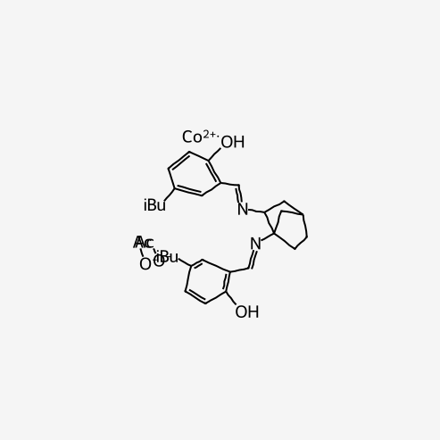 CC(=O)[O-].CC(=O)[O-].CCC(C)c1ccc(O)c(C=NC2CC3CCC2(N=Cc2cc(C(C)CC)ccc2O)C3)c1.[Co+2]